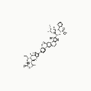 CC[C@H](C)N(C(=O)[C@@H](NC(=O)OC)C(C)C)[C@@H](C)c1ncc(-c2ccc3c(c2)COc2cc4c(cc2-3)CCc2nc([C@H](C)N(CC(C)COC)C(=O)[C@H](NC(=O)OC)c3ccccc3)[nH]c2-4)[nH]1